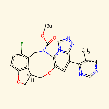 Cc1cncnc1-c1cc2c(n3cnnc13)N(C(=O)OC(C)(C)C)Cc1c(F)ccc3c1[C@H](CO3)CO2